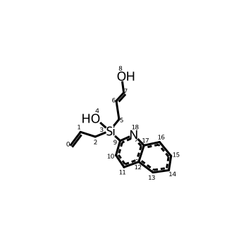 C=CC[Si](O)(CC=CO)c1ccc2ccccc2n1